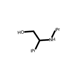 CC(C)NC(CO)C(C)C